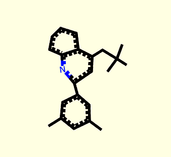 Cc1cc(C)cc(-c2cc(CC(C)(C)C)c3ccccc3n2)c1